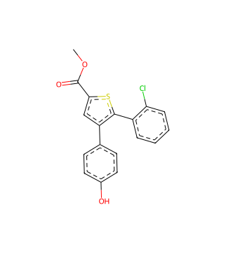 COC(=O)c1cc(-c2ccc(O)cc2)c(-c2ccccc2Cl)s1